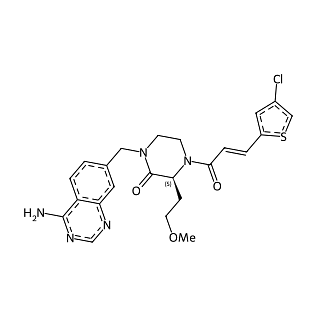 COCC[C@H]1C(=O)N(Cc2ccc3c(N)ncnc3c2)CCN1C(=O)C=Cc1cc(Cl)cs1